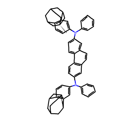 c1ccc(N(c2ccc3c(c2)C2CC4CC(CC3C4)C2)c2ccc3c(ccc4cc(N(c5ccccc5)c5ccc6c(c5)C5CC7CC6C[C@@H](C7)C5)ccc43)c2)cc1